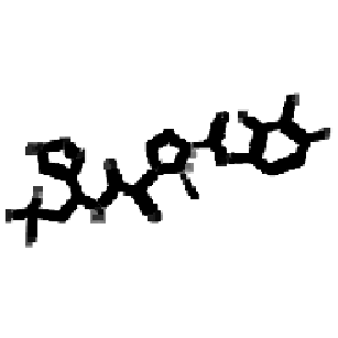 C[C@H]1[C@@H](C(=O)Nc2ccc(F)c(Cl)c2F)CCN1C(=O)C(=O)NC(CC(F)(F)F)c1c[nH]nn1